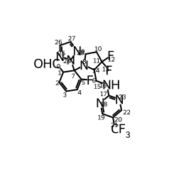 O=CC1C=CC=C(F)C1(N1CCC(F)(F)C1CNc1ncc(C(F)(F)F)cn1)n1nccn1